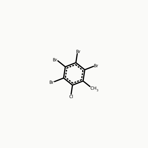 Cc1c(Cl)c(Br)c(Br)c(Br)c1Br